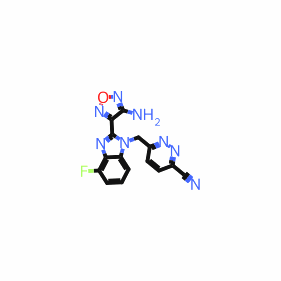 N#Cc1ccc(Cn2c(-c3nonc3N)nc3c(F)cccc32)nn1